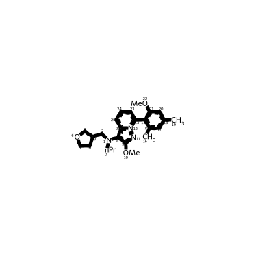 CCCN(CC1CCOC1)c1c(OC)nn2c(-c3c(C)cc(C)cc3OC)cccc12